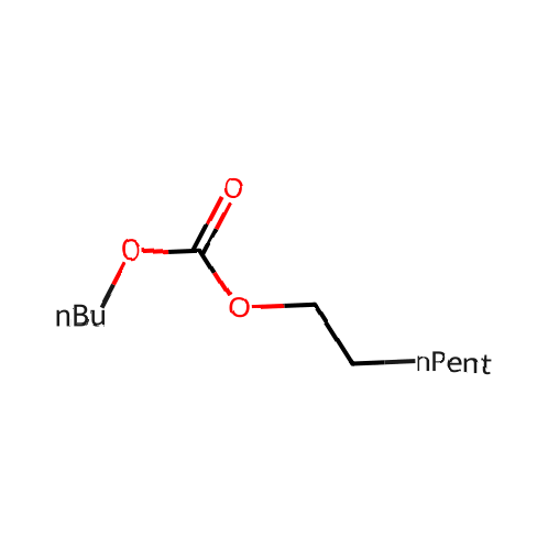 [CH2]CCCOC(=O)OCCCCCCC